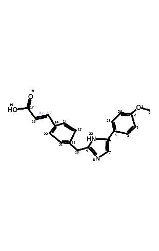 COc1ccc(-c2cnc(Cc3ccc(/C=C/C(=O)O)cc3)[nH]2)cc1